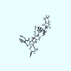 Fc1ccc(-c2nc3ccc(NC(=S)N4Cc5ccccc5C4)cc3nc2-c2ccc(F)cc2)cc1